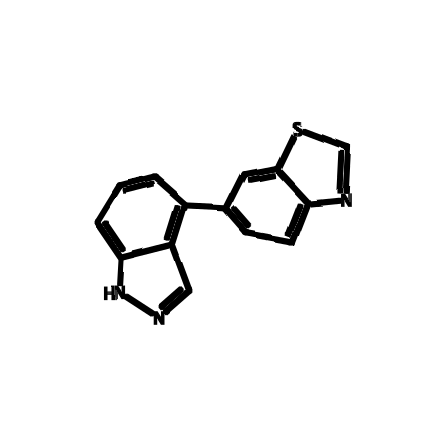 c1cc(-c2ccc3ncsc3c2)c2cn[nH]c2c1